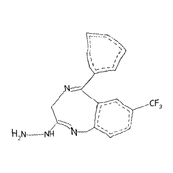 NNC1=Nc2ccc(C(F)(F)F)cc2C(c2ccccc2)=NC1